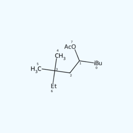 CCC(C)C(CC(C)(C)CC)OC(C)=O